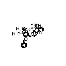 C=C(OC(C)C)c1cccnc1N1CCN(Cc2cc(OC)c(OC)cc2OCc2ccccc2)CC1